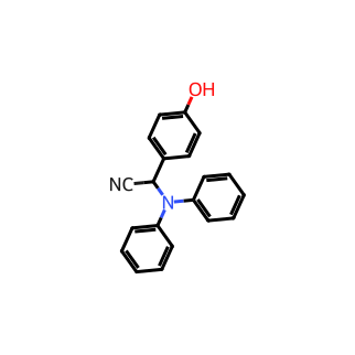 N#CC(c1ccc(O)cc1)N(c1ccccc1)c1ccccc1